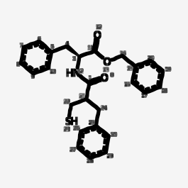 O=C(N[C@@H](Cc1ccccc1)C(=O)OCc1ccccc1)C(CS)Cc1ccccc1